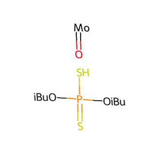 CC(C)COP(=S)(S)OCC(C)C.[O]=[Mo]